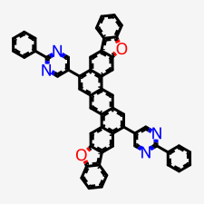 c1ccc(-c2ncc(-c3cc4cc5c(cc(-c6cnc(-c7ccccc7)nc6)c6cc7c(cc65)oc5ccccc57)cc4c4cc5oc6ccccc6c5cc34)cn2)cc1